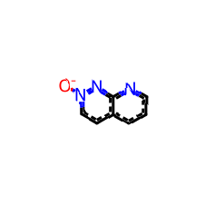 [O-][n+]1ccc2cccnc2n1